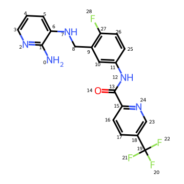 Nc1ncccc1NCc1cc(NC(=O)c2ccc(C(F)(F)F)cn2)ccc1F